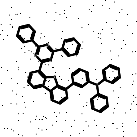 c1ccc(-c2nc(-c3ccccc3)nc(-c3cccc4c3oc3c(-c5cccc(N(c6ccccc6)c6ccccc6)c5)cccc34)n2)cc1